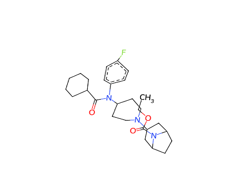 CCOC(=O)N1C2CCC1CC(N1CCC(N(C(=O)C3CCCCC3)c3ccc(F)cc3)CC1)C2